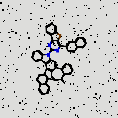 CC1c2ccccc2-c2cc3c(c4c2CC1c1c-4ccc2ccccc12)c1ccccc1n3-c1nc(-c2ccc3ccccc3c2)c2sc3ccccc3c2n1